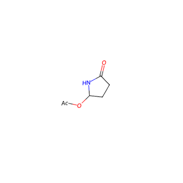 CC(=O)OC1CCC(=O)N1